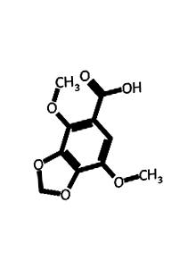 COc1cc(C(=O)O)c(OC)c2c1OCO2